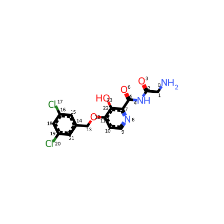 NCC(=O)NC(=O)c1nccc(OCc2cc(Cl)cc(Cl)c2)c1O